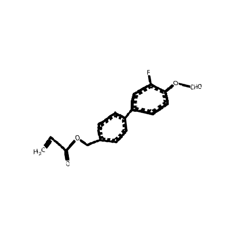 C=CC(=O)OCc1ccc(-c2ccc(OC=O)c(F)c2)cc1